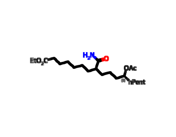 CCCCC[C@@H](CCCC(CCCCCCC(=O)OCC)C(N)=O)OC(C)=O